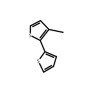 Cc1ccsc1-c1cccs1